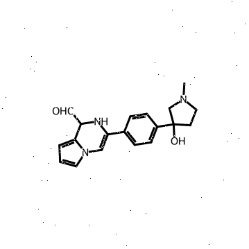 CN1CCC(O)(c2ccc(C3=Cn4cccc4C(C=O)N3)cc2)C1